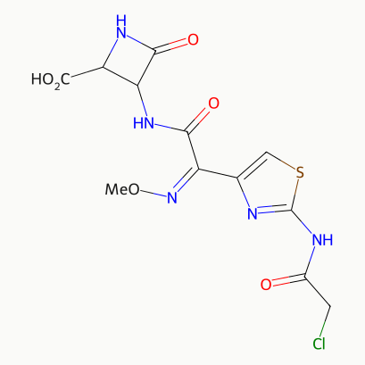 CON=C(C(=O)NC1C(=O)NC1C(=O)O)c1csc(NC(=O)CCl)n1